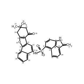 C=c1[nH]c2ccc(S(=O)(=O)Nc3cc4c5c(oc4c4ccccc34)CC(C)(C)CC5=O)c3cccc1c23